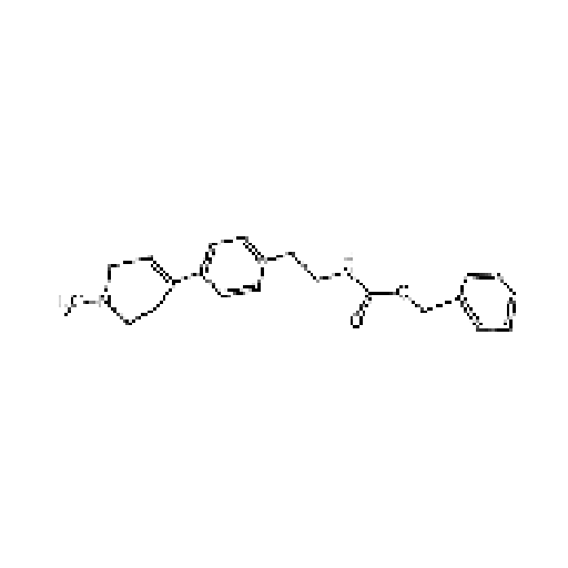 CN1CC=C(c2ccc(CCNC(=O)OCc3ccccc3)cc2)CC1